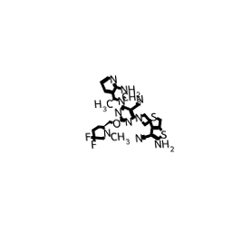 C[C@H](c1cccnc1N)N(C)c1nc(OC[C@@H]2CCC(F)(F)CN2C)nc(N2CC3(C2)SCc2sc(N)c(C#N)c23)c1C#N